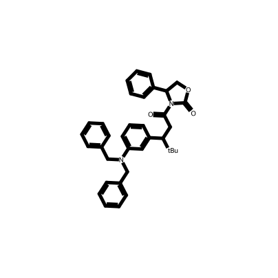 CC(C)(C)C(CC(=O)N1C(=O)OCC1c1ccccc1)c1cccc(N(Cc2ccccc2)Cc2ccccc2)c1